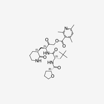 Cc1cc(C)c(C(=O)OCC(=O)[C@H](C[C@@H]2CCCNC2=O)NC(=O)[C@H](CC(C)(C)C)NC(=O)[C@H]2CCCO2)c(C)n1